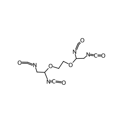 O=C=NCC(N=C=O)OCCOC(CN=C=O)N=C=O